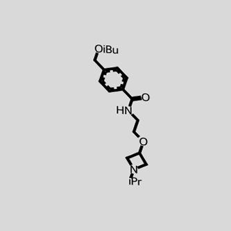 CC(C)COCc1ccc(C(=O)NCCOC2CN(C(C)C)C2)cc1